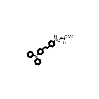 CONCONc1ccc(C=Cc2ccc(N(c3ccccc3)c3ccccc3)cc2)cc1